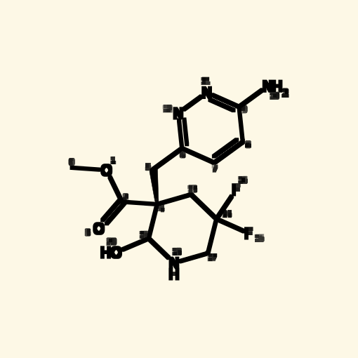 COC(=O)[C@]1(Cc2ccc(N)nn2)CC(F)(F)CNC1O